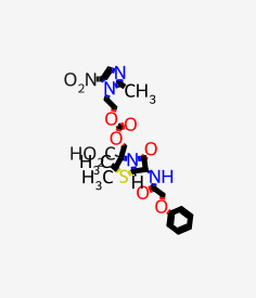 Cc1ncc([N+](=O)[O-])n1CCOC(=O)OC[C@@]1(C(=O)O)N2C(=O)[C@@H](NC(=O)COc3ccccc3)[C@H]2SC1(C)C